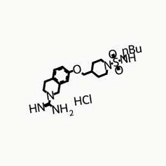 CCCCNS(=O)(=O)N1CCC(COc2ccc3c(c2)CN(C(=N)N)CC3)CC1.Cl